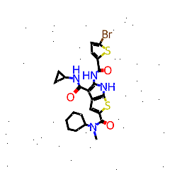 CN(C(=O)c1cc2c(C(=O)NC3CC3)c(NC(=O)c3ccc(Br)s3)[nH]c2s1)C1CCCCC1